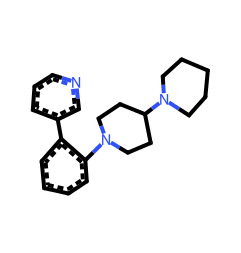 c1cncc(-c2ccccc2N2CCC(N3CCCCC3)CC2)c1